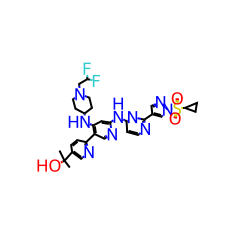 CC(C)(O)c1ccc(-c2cnc(Nc3ccnc(-c4cnn(S(=O)(=O)C5CC5)c4)n3)cc2NC2CCN(CC(F)F)CC2)nc1